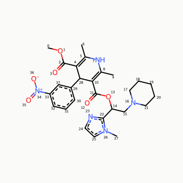 COC(=O)C1=C(C)NC(C)=C(C(=O)OC(CN2CCCCC2)c2nccn2C)C1c1cccc([N+](=O)[O-])c1